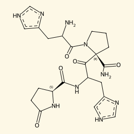 NC(=O)[C@]1(C(=O)C(Cc2c[nH]cn2)NC(=O)[C@@H]2CCC(=O)N2)CCCN1C(=O)C(N)Cc1c[nH]cn1